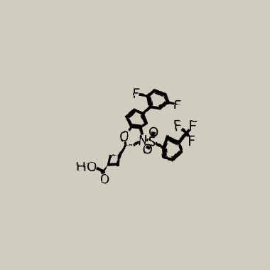 O=C(O)[C@H]1C[C@H]([C@H]2CN(S(=O)(=O)c3cccc(C(F)(F)F)c3)c3cc(-c4cc(F)ccc4F)ccc3O2)C1